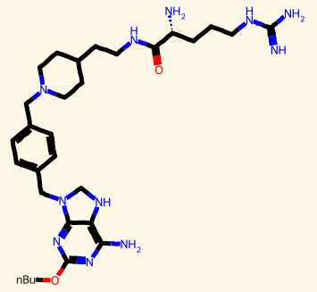 CCCCOc1nc(N)c2c(n1)N(Cc1ccc(CN3CCC(CCNC(=O)[C@H](N)CCCNC(=N)N)CC3)cc1)CN2